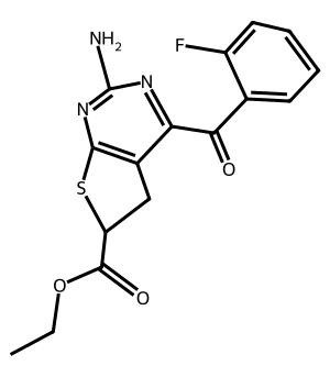 CCOC(=O)C1Cc2c(nc(N)nc2C(=O)c2ccccc2F)S1